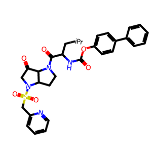 CC(C)CC(NC(=O)Oc1ccc(-c2ccccc2)cc1)C(=O)N1CCC2C1C(=O)CN2S(=O)(=O)Cc1ccccn1